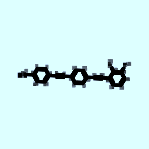 CCCc1ccc(C#Cc2ccc(C#Cc3cccc(F)c3F)cc2)cc1